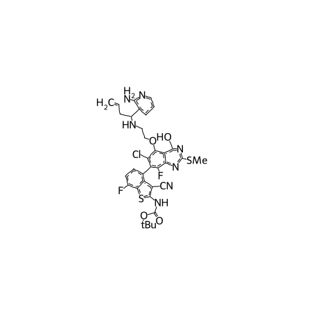 C=CCC(NCCOc1c(Cl)c(-c2ccc(F)c3sc(NC(=O)OC(C)(C)C)c(C#N)c23)c(F)c2nc(SC)nc(O)c12)c1cccnc1N